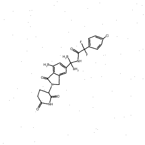 Bc1cc(C(B)(B)NC(=O)C(F)(F)c2ccc(Cl)cc2)cc2c1C(=O)N(C1CCC(=O)NC1=O)C2